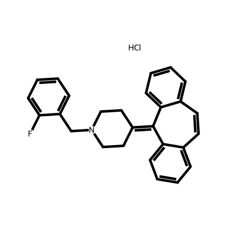 Cl.Fc1ccccc1CN1CCC(=C2c3ccccc3C=Cc3ccccc32)CC1